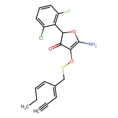 C#C/C=C(\C=C/CC)CSOC1=C(N)OC(c2c(F)cccc2Cl)C1=O